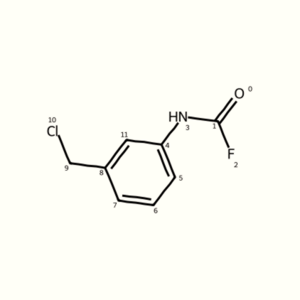 O=C(F)Nc1cccc(CCl)c1